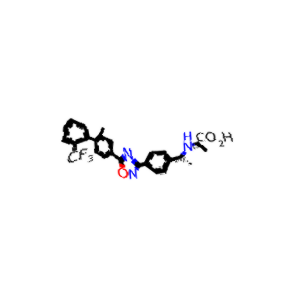 Cc1cc(-c2nc(-c3ccc([C@@H](C)N[C@@H](C)C(=O)O)cc3)no2)ccc1-c1ccccc1C(F)(F)F